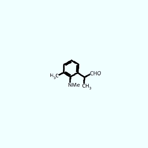 CNc1c(C)cccc1C(C)C=O